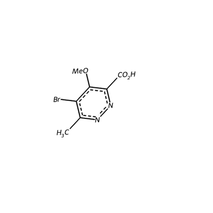 COc1c(C(=O)O)nnc(C)c1Br